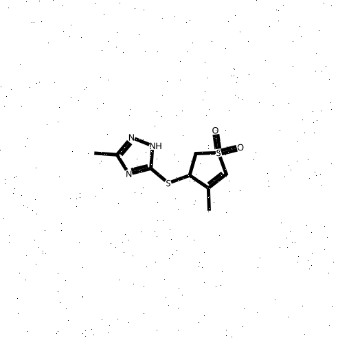 CC1=CS(=O)(=O)CC1Sc1nc(C)n[nH]1